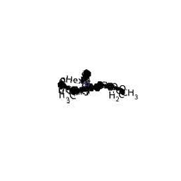 C=C(C)C(=O)OCCOC1CCC(COc2ccc3cc(-c4cc(/C=N/N(CCCCCC)c5nc6ccccc6s5)c(OC(=O)CCc5ccc(OCCCN6C(=O)C=CC6=O)c(C)c5)c(CCC)c4)ccc3c2)CC1